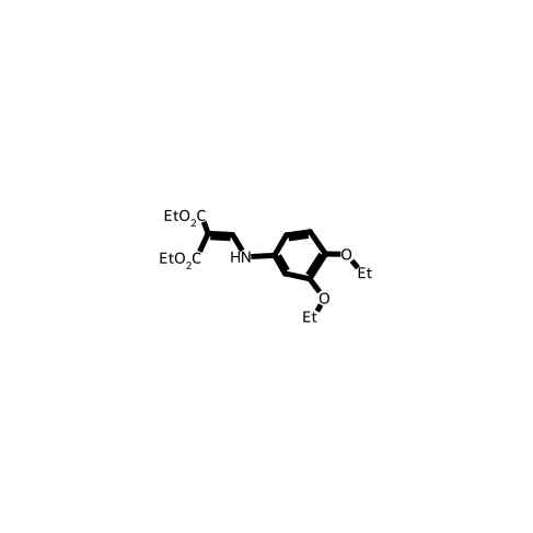 CCOC(=O)C(=CNc1ccc(OCC)c(OCC)c1)C(=O)OCC